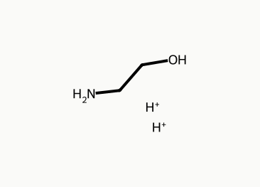 NCCO.[H+].[H+]